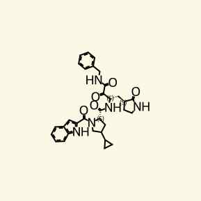 O=C(NCc1ccccc1)C(=O)[C@H](C[C@@H]1CCNC1=O)NC(=O)[C@@H]1CC(C2CC2)CN1C(=O)c1cc2ccccc2[nH]1